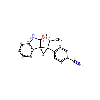 CC(C)C1(c2ccc(C#N)cc2)CC12C(=O)Nc1ccccc12